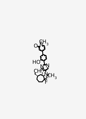 CC[C@@H]1CCCC(F)(F)[C@H](N(C)c2cnc(-c3ccc(-c4ccn(C)c(=O)c4)cc3O)nn2)C1